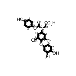 CCc1cc(Oc2c(Cl)cc(N(CC(=O)O)C(=O)Oc3ccc(O)cc3)cc2Cl)ccc1O